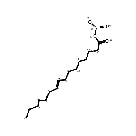 CCCCCCC=CCCCCCCCC(=O)O[N+](=O)[O-]